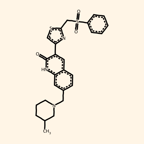 CC1CCCN(Cc2ccc3cc(-c4csc(CS(=O)(=O)c5ccccc5)n4)c(=O)[nH]c3c2)C1